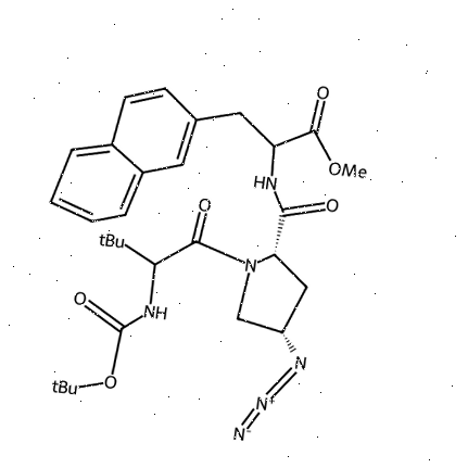 COC(=O)C(Cc1ccc2ccccc2c1)NC(=O)[C@@H]1C[C@H](N=[N+]=[N-])CN1C(=O)C(NC(=O)OC(C)(C)C)C(C)(C)C